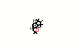 C[C@H]1C(C)(C)[C@H]2[C@H]3OC(C)(C)C[C@@H]3CC[C@H]2C1(C)C